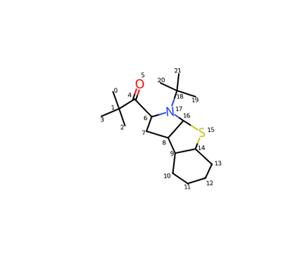 CC(C)(C)C(=O)C1CC2C3CCCCC3SC2N1C(C)(C)C